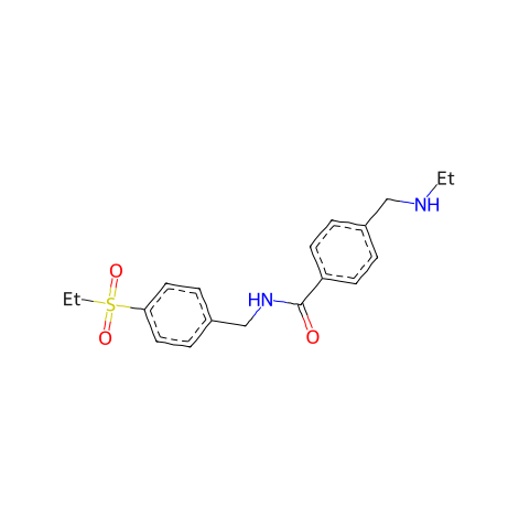 CCNCc1ccc(C(=O)NCc2ccc(S(=O)(=O)CC)cc2)cc1